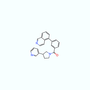 O=C(c1cccc(-c2cccc3cnccc23)c1)N1CCC(c2cccnc2)C1